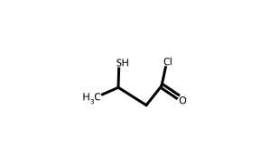 CC(S)CC(=O)Cl